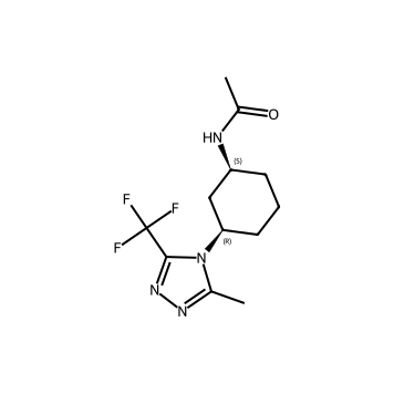 CC(=O)N[C@H]1CCC[C@@H](n2c(C)nnc2C(F)(F)F)C1